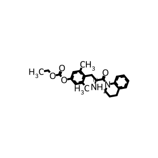 CCOC(=O)Oc1cc(C)c(C[C@H](N)C(=O)N2CCCc3ccccc32)c(C)c1